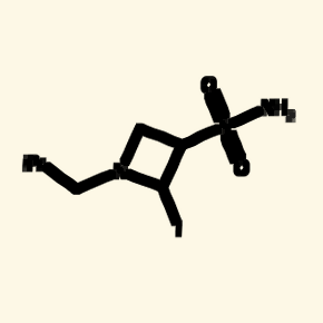 CC(C)CN1CC(S(N)(=O)=O)C1I